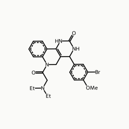 CCN(CC)CC(=O)N1CC2=C(NC(=O)NC2c2ccc(OC)c(Br)c2)c2ccccc21